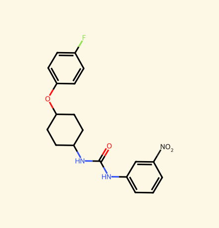 O=C(Nc1cccc([N+](=O)[O-])c1)NC1CCC(Oc2ccc(F)cc2)CC1